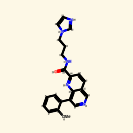 COc1ccccc1-c1cncc2ccc(C(=O)NCCCn3ccnc3)nc12